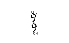 CN1CCN(CCN2CCN(CCO)CC2)CC1